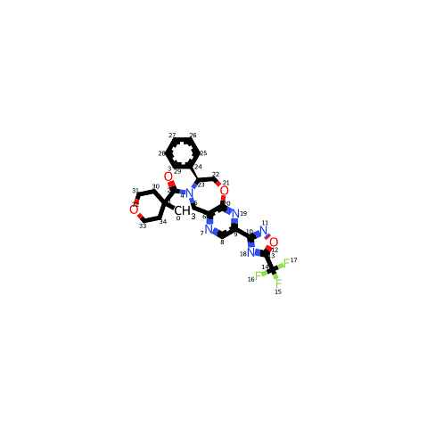 CC1(C(=O)N2Cc3ncc(-c4noc(C(F)(F)F)n4)nc3OC[C@@H]2c2ccccc2)CCOCC1